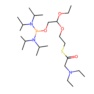 CCOC(COP(N(C(C)C)C(C)C)N(C(C)C)C(C)C)OCCSC(=O)CN(CC)CC